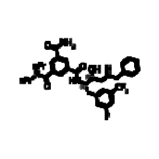 CCCN(CCC)C(=O)c1cc(C(N)=O)cc(C(=O)N[C@@H](Cc2cc(F)cc(C(F)(F)F)c2)[C@H](O)CNCc2ccccc2)c1